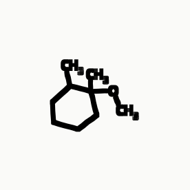 COC1(C)CCCCC1C